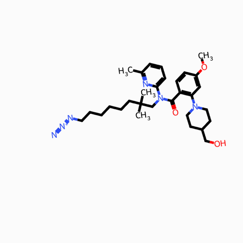 COc1ccc(C(=O)N(CC(C)(C)CCCCCCN=[N+]=[N-])c2cccc(C)n2)c(N2CCC(CO)CC2)c1